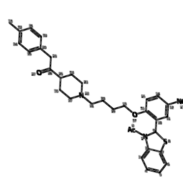 CC(=O)N1c2ccccc2SC1c1cc([N+](=O)[O-])ccc1OCCCCN1CCC(C(=O)Cc2ccc(C)cc2)CC1